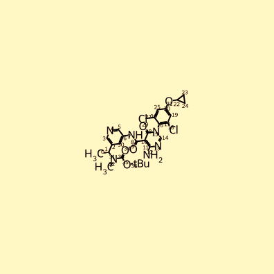 C[C@@H](c1cncc(NC(=O)c2c(N)ncn(-c3c(Cl)cc(OC4CC4)cc3Cl)c2=O)c1)N(C)C(=O)OC(C)(C)C